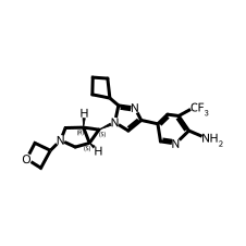 Nc1ncc(-c2cn([C@H]3[C@@H]4CN(C5COC5)C[C@@H]43)c(C3CCC3)n2)cc1C(F)(F)F